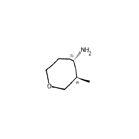 C[C@H]1COCC[C@@H]1N